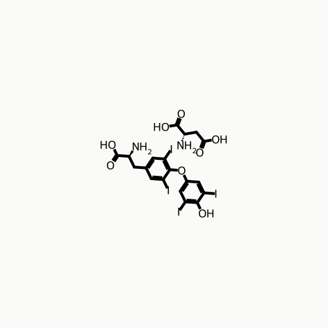 N[C@@H](CC(=O)O)C(=O)O.N[C@@H](Cc1cc(I)c(Oc2cc(I)c(O)c(I)c2)c(I)c1)C(=O)O